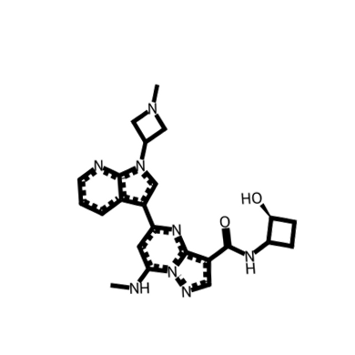 CNc1cc(-c2cn(C3CN(C)C3)c3ncccc23)nc2c(C(=O)NC3CC[C@@H]3O)cnn12